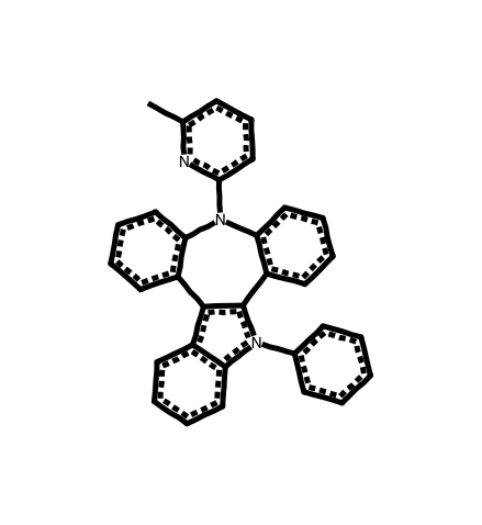 Cc1cccc(N2c3ccccc3-c3c(n(-c4ccccc4)c4ccccc34)-c3ccccc32)n1